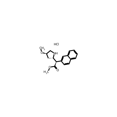 COC(=O)[C@H](c1ccc2ccccc2c1)[C@@H]1C[C@@H](OC)CN1.Cl